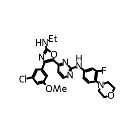 CCNc1nc(-c2cc(Cl)cc(OC)c2)c(-c2ccnc(Nc3ccc(N4CCOCC4)c(F)c3)n2)o1